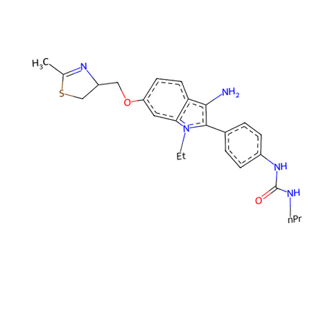 CCCNC(=O)Nc1ccc(-c2c(N)c3ccc(OCC4CSC(C)=N4)cc3n2CC)cc1